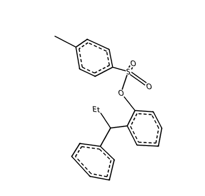 CCC(c1ccccc1)c1ccccc1OS(=O)(=O)c1ccc(C)cc1